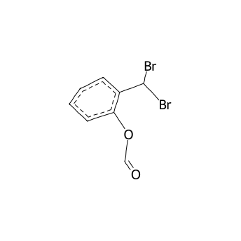 O=COc1ccccc1C(Br)Br